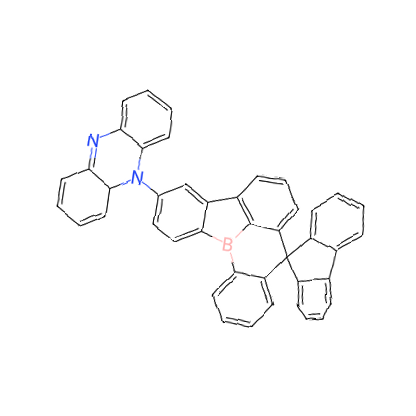 C1=CC2=Nc3ccccc3N(c3ccc4c(c3)-c3cccc5c3B4c3ccccc3C53c4ccccc4-c4ccccc43)C2C=C1